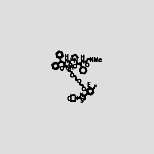 CNCC(=O)N[C@H](C(=O)N1CCC[C@H]1C(=O)N[C@H](C(=O)NCCOCCOCCOc1c(-c2csc(N3CCOCC3)n2)ccc(F)c1F)C(c1ccccc1)c1ccccc1)C1CCCCC1